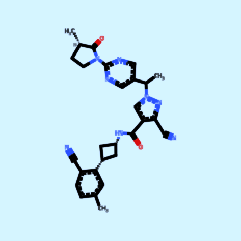 Cc1ccc(C#N)c([C@H]2C[C@@H](NC(=O)c3cn(C(C)c4cnc(N5CC[C@H](C)C5=O)nc4)nc3C#N)C2)c1